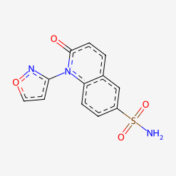 NS(=O)(=O)c1ccc2c(ccc(=O)n2-c2ccon2)c1